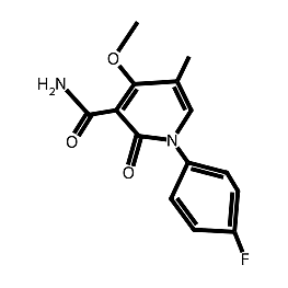 COc1c(C)cn(-c2ccc(F)cc2)c(=O)c1C(N)=O